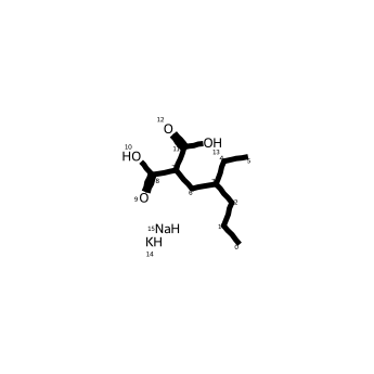 CCCC(CC)CC(C(=O)O)C(=O)O.[KH].[NaH]